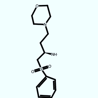 [NH][C@H](CCN1CCOCC1)CS(=O)(=O)c1ccccc1